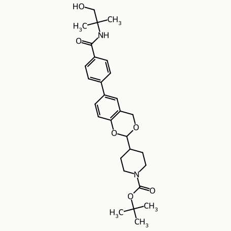 CC(C)(CO)NC(=O)c1ccc(-c2ccc3c(c2)COC(C2CCN(C(=O)OC(C)(C)C)CC2)O3)cc1